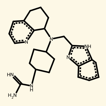 N=C(N)NC1CCC(N(Cc2nc3ccccc3[nH]2)C2CCCc3cccnc32)CC1